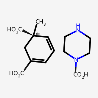 C[C@]1(C(=O)O)C=CC=C(C(=O)O)C1.O=C(O)N1CCNCC1